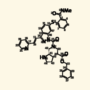 CNC(=O)c1ccccc1Sc1ccc2c(/C=C/c3ccccn3)nn(C(=O)N(CCC(=O)OCc3ccccc3)C[C@@H]3CCCN3)c2c1